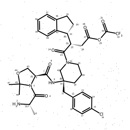 C[C@H](N)C(=O)N1[C@H](C(=O)N[C@@]2(Cc3ccc(Cl)cc3)CCCN(C(=O)[C@@H](CC(=O)OC(=O)C(F)(F)F)[C@H]3CCc4ccccc43)C2)COC1(C)C